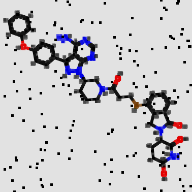 Nc1ncnc2c1c(-c1ccc(Oc3ccccc3)cc1)nn2[C@@H]1CCCN(C(=O)CCSc2cccc3c2CN(C2CCC(=O)NC2=O)C3=O)C1